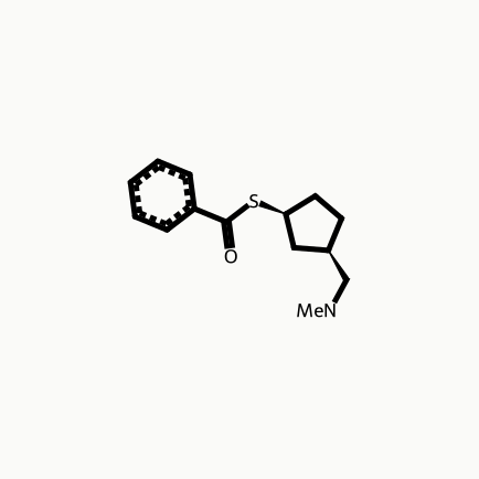 CNC[C@@H]1CC[C@H](SC(=O)c2ccccc2)C1